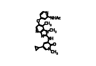 CC(=O)Nc1cc(Oc2cnc3nc(Nc4cc(C5CC5)cn(C)c4=O)n(C)c3c2C)ccn1